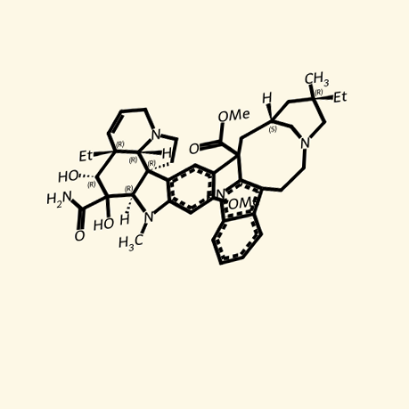 CC[C@]1(C)C[C@@H]2CN(CCc3c([nH]c4ccccc34)C(C(=O)OC)(c3cc4c(cc3OC)N(C)[C@H]3C(O)(C(N)=O)[C@H](O)[C@]5(CC)C=CCN6CC[C@]43[C@@H]65)C2)C1